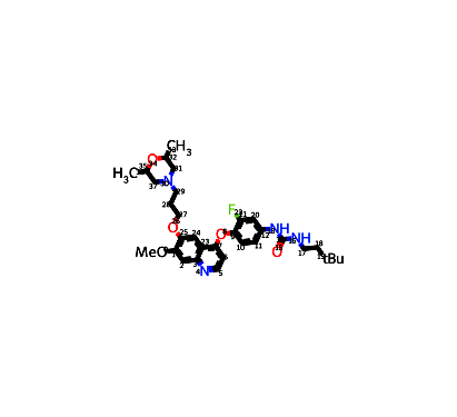 COc1cc2nccc(Oc3ccc(NC(=O)NCCC(C)(C)C)cc3F)c2cc1OCCCN1CC(C)OC(C)C1